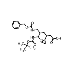 CC(NC(=O)OC(C)(C)C)C(CNC(=O)OCc1ccccc1)CC(CC(=O)O)C1CC1